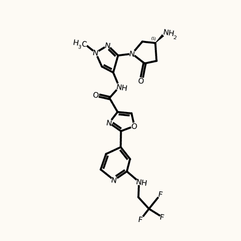 Cn1cc(NC(=O)c2coc(-c3ccnc(NCC(F)(F)F)c3)n2)c(N2C[C@@H](N)CC2=O)n1